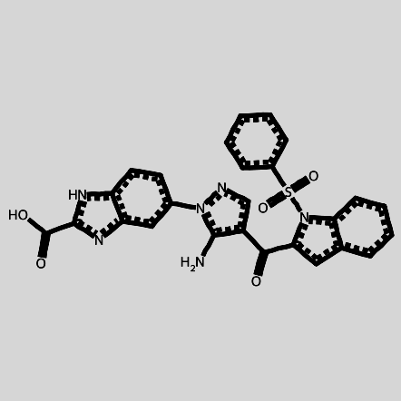 Nc1c(C(=O)c2cc3ccccc3n2S(=O)(=O)c2ccccc2)cnn1-c1ccc2[nH]c(C(=O)O)nc2c1